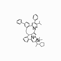 C=C1C[n+]2cc(C(C)C)c(-c3ccccc3)cc2-c2ccc(-c3ccccc3)cc2CCC2c3ccccc3-c3cc(C(C)C4CCCC4)c([Si](C)(C)C)c[n+]3C12